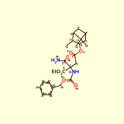 CCOC(=O)C(CC(=O)OC1CC2CC(C1C)C2(C)C)(NC(=O)OCc1ccccc1)C(N)=O